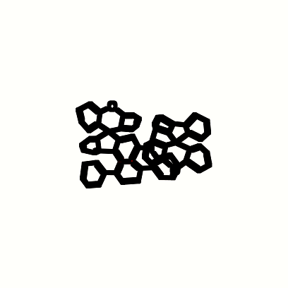 c1ccc(-c2ccc(-c3ccccc3N(c3ccc4c(c3)C3(c5ccccc5Oc5ccccc53)c3ccccc3-4)c3cccc4c3C3(c5ccccc5Oc5ccccc53)c3ccccc3-4)cc2)cc1